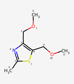 COCc1nc(C)sc1COC